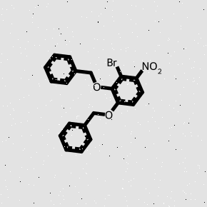 O=[N+]([O-])c1ccc(OCc2ccccc2)c(OCc2ccccc2)c1Br